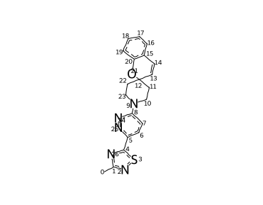 Cc1nsc(-c2ccc(N3CCC4(C=Cc5ccccc5O4)CC3)nn2)n1